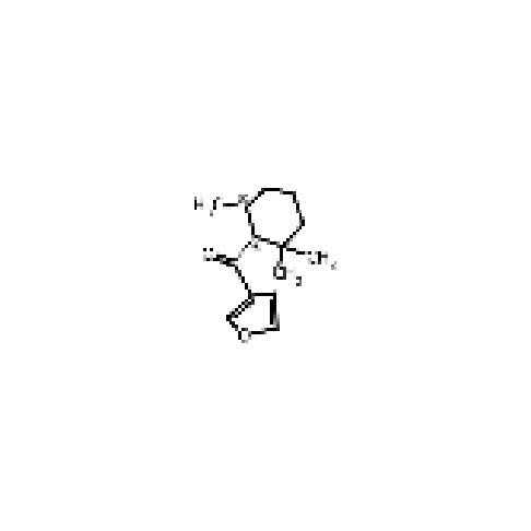 C[C@H]1CCCC(C)(C)[C@@H]1C(=O)c1ccoc1